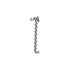 CCOS(=S)(=S)SSSSSSSSSSSSSSSSSS